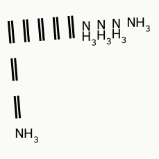 C=C.C=C.C=C.C=C.C=C.C=C.C=C.N.N.N.N.N